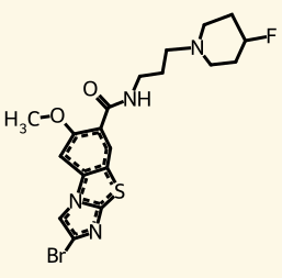 COc1cc2c(cc1C(=O)NCCCN1CCC(F)CC1)sc1nc(Br)cn12